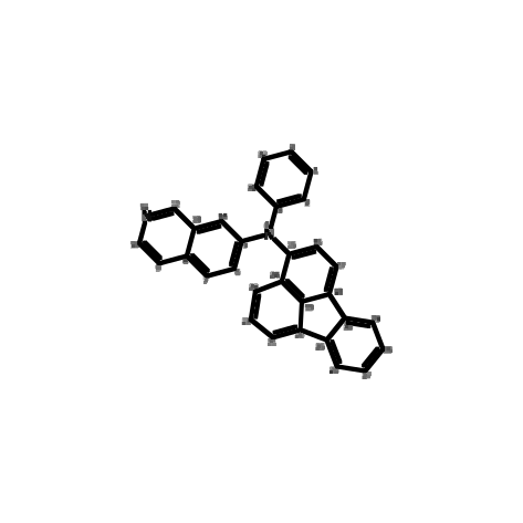 c1ccc(N(c2ccc3ccncc3c2)c2ccc3c4c(cccc24)-c2ccccc2-3)cc1